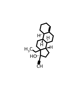 C#C[C@]1(O)CC[C@H]2[C@@H]3CCC4=CCCC[C@@H]4[C@H]3CCC21CC